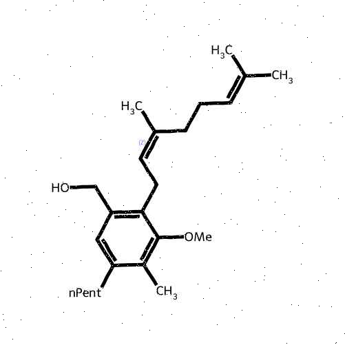 CCCCCc1cc(CO)c(C/C=C(/C)CCC=C(C)C)c(OC)c1C